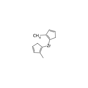 C.CC1=[C]([Zr][C]2=C(C)C=CC2)CC=C1